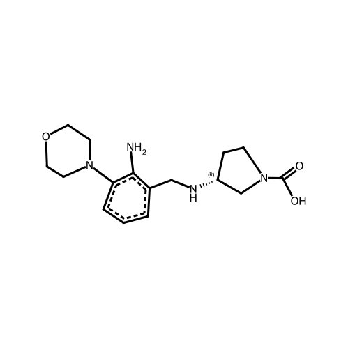 Nc1c(CN[C@@H]2CCN(C(=O)O)C2)cccc1N1CCOCC1